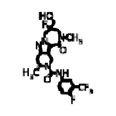 C[C@@H]1Cc2nn3c(c2CN1C(=O)Nc1ccc(F)c(C(F)(F)F)c1)C(=O)N(C)CC(F)(CO)C3